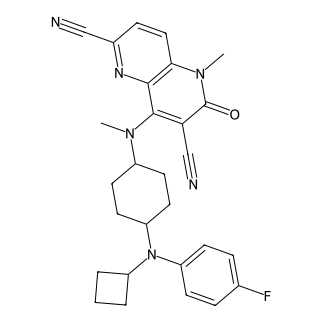 CN(c1c(C#N)c(=O)n(C)c2ccc(C#N)nc12)C1CCC(N(c2ccc(F)cc2)C2CCC2)CC1